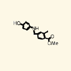 COC(=O)c1ccc(CNc2ccc(O)cc2)cc1C